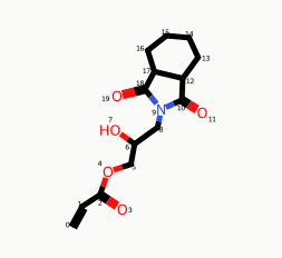 C=CC(=O)OCC(O)CN1C(=O)C2CCCCC2C1=O